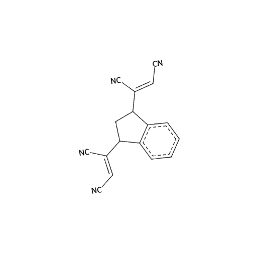 N#CC=C(C#N)C1CC(C(C#N)=CC#N)c2ccccc21